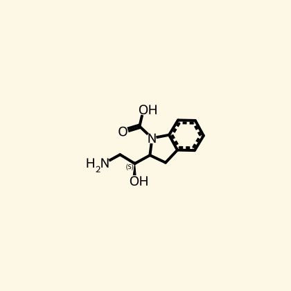 NC[C@H](O)C1Cc2ccccc2N1C(=O)O